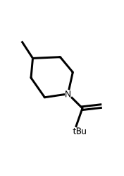 C=C(N1CCC(C)CC1)C(C)(C)C